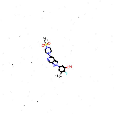 Cc1cc(-n2cc3cc(N4CCN(S(C)(=O)=O)CC4)ncc3n2)cc(O)c1F